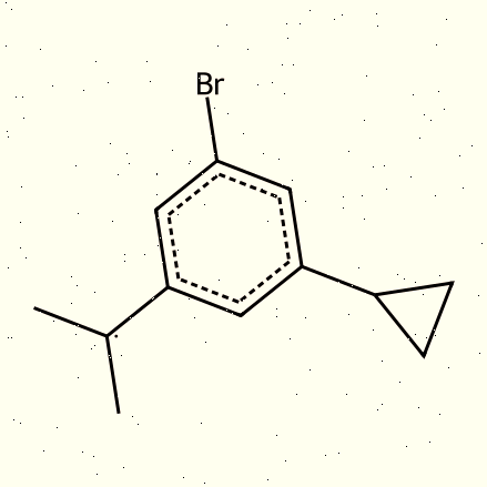 C[C](C)c1cc(Br)cc(C2CC2)c1